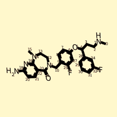 CNCCC(Oc1ccc(CN2CCN(C)c3nc(N)ccc3C2=O)c(F)c1)c1cccc(F)c1